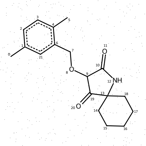 Cc1ccc(C)c(COC2C(=O)NC3(CCCCC3)C2=O)c1